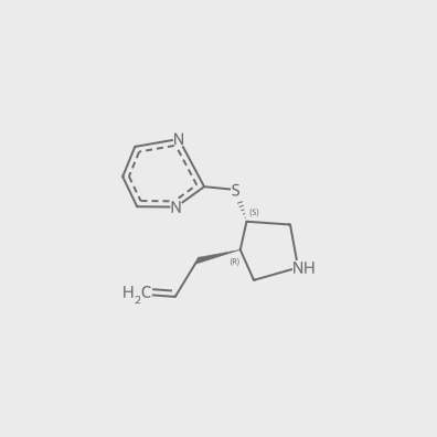 C=CC[C@@H]1CNC[C@H]1Sc1ncccn1